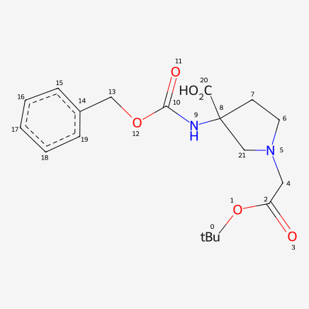 CC(C)(C)OC(=O)CN1CCC(NC(=O)OCc2ccccc2)(C(=O)O)C1